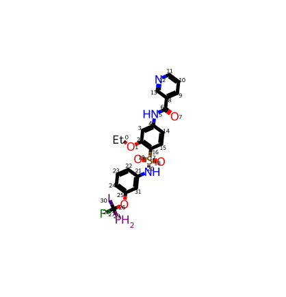 CCOc1cc(NC(=O)c2cccnc2)ccc1S(=O)(=O)Nc1cccc(OC(F)(P)I)c1